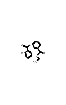 C=COC(=O)c1ccccc1.O=C([O-])c1ccccc1.[Li+]